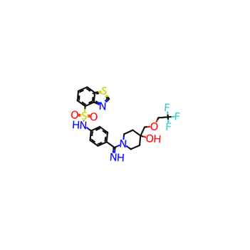 N=C(c1ccc(NS(=O)(=O)c2cccc3scnc23)cc1)N1CCC(O)(COCC(F)(F)F)CC1